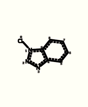 Cln1nnc2[c]cccc21